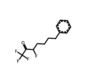 O=C(C(F)CCCCc1ccccc1)C(F)(F)F